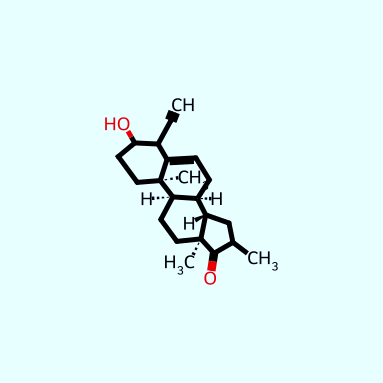 C#CC1C2=CC[C@@H]3[C@@H](CC[C@]4(C)C(=O)C(C)C[C@@H]34)[C@@]2(C)CCC1O